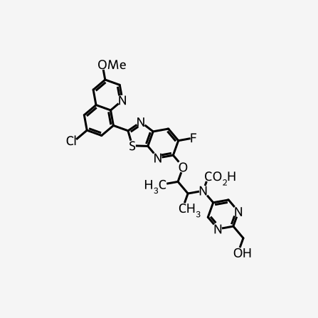 COc1cnc2c(-c3nc4cc(F)c(OC(C)C(C)N(C(=O)O)c5cnc(CO)nc5)nc4s3)cc(Cl)cc2c1